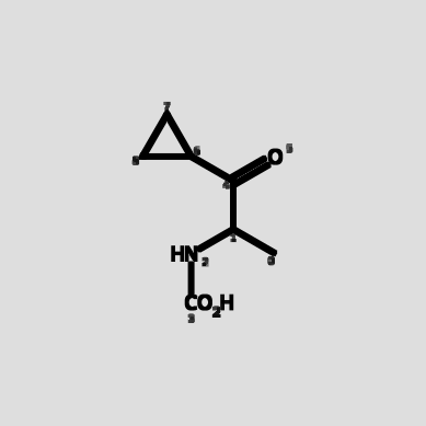 CC(NC(=O)O)C(=O)C1CC1